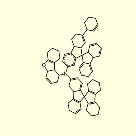 C1=CC2C3=CCCC=C3C3(c4cc(N(C5=CC=C6C(C5)C5=C(C=CCC5)C65C6=C(CCCC6)C6=C5CCCC6)C5CC=CC6OC7=C(CCCC7)C65)ccc4C4CCC(C5C=CCCC5)=CC43)C2C=C1